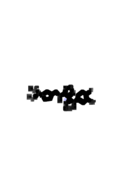 CN(C)N1CCC(CNc2nonc2/C(=N/O)NC2=CC(Br)=C(F)CC2)C1